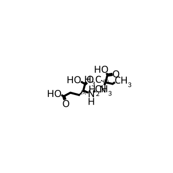 CC[C@@](C)(N)C(=O)O.CN[C@@H](CCC(=O)O)C(=O)O